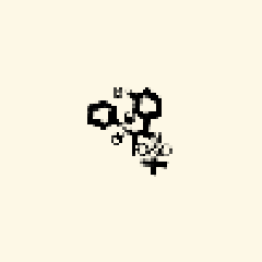 CC(C)(C)S(=O)(=O)N=C(c1cccc(Br)c1)C(F)S(=O)(=O)c1ccccc1